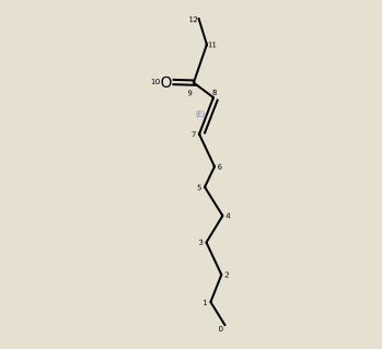 CCCCCCC/C=C/C(=O)CC